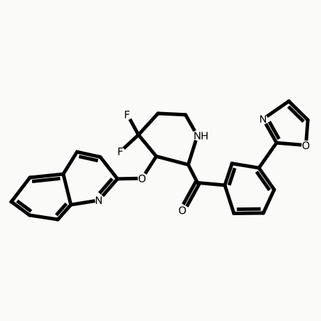 O=C(c1cccc(-c2ncco2)c1)C1NCCC(F)(F)C1Oc1ccc2ccccc2n1